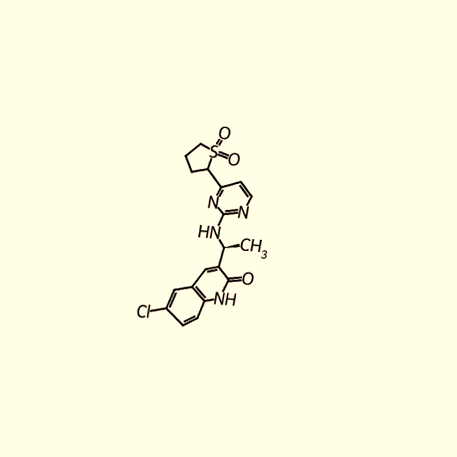 C[C@H](Nc1nccc(C2CCCS2(=O)=O)n1)c1cc2cc(Cl)ccc2[nH]c1=O